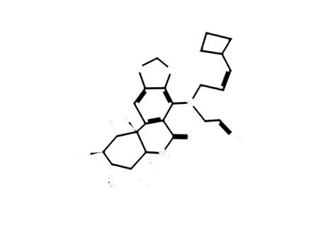 C=CCN(C/C=C\C1CCC1)c1c2c(cc3c1C(=O)N[C@H]1[C@H](O)[C@H](O)[C@@H](O)[C@H](O)[C@H]31)OCO2